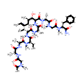 C/C=C/C[C@@H](C)[C@H](O)C(C(=O)N[C@H](CC)C(=O)N(C)CC(=O)N(C)[C@@H](Cc1ccccc1)C(N)=O)N(C)C(=O)[C@H](C(C)C)N(C)C(=O)[C@@H](CC(C)C)N(C)C(=O)[C@@H](CC(C)C)N(C)C(=O)[C@H](C)NC(=O)[C@@H](C)NC(=O)CN(C)C(=O)C(C)C